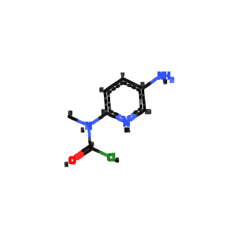 CN(C(=O)Cl)c1ccc(N)cn1